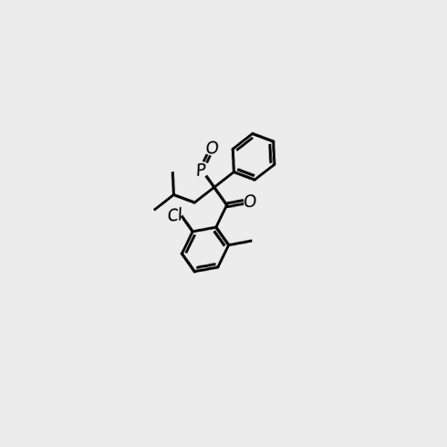 Cc1cccc(Cl)c1C(=O)C(CC(C)C)(P=O)c1ccccc1